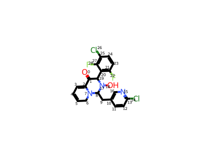 O=C1C2=CC=CCN2C(Cc2ccc(Cl)nc2)N(O)C1c1c(F)ccc(Cl)c1F